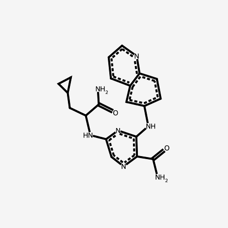 NC(=O)c1ncc(NC(CC2CC2)C(N)=O)nc1Nc1ccc2ncccc2c1